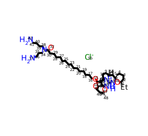 CC[C@H]1CCCC[C@@]2(C[C@@H]3CC[C@@H]4[C@H](C(=O)OCCCCCCCCCCCCCCCC(=O)N(CCCN)CCCCN)[C@]5(CCC[C@@H](C)O5)NC(=[N+]34)N2)O1.[Cl-]